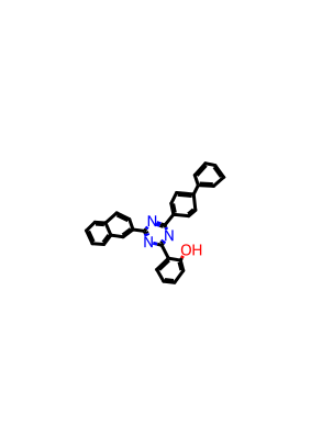 Oc1ccccc1-c1nc(-c2ccc(-c3ccccc3)cc2)nc(-c2ccc3ccccc3c2)n1